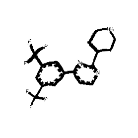 FC(F)(F)c1cc(-c2ccnc(C3CCNCC3)n2)cc(C(F)(F)F)c1